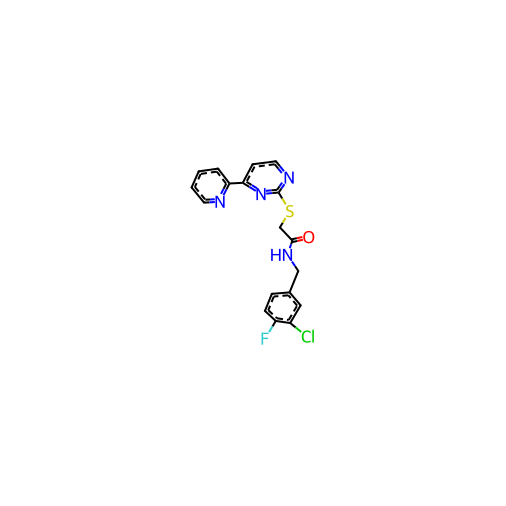 O=C(CSc1nccc(-c2ccccn2)n1)NCc1ccc(F)c(Cl)c1